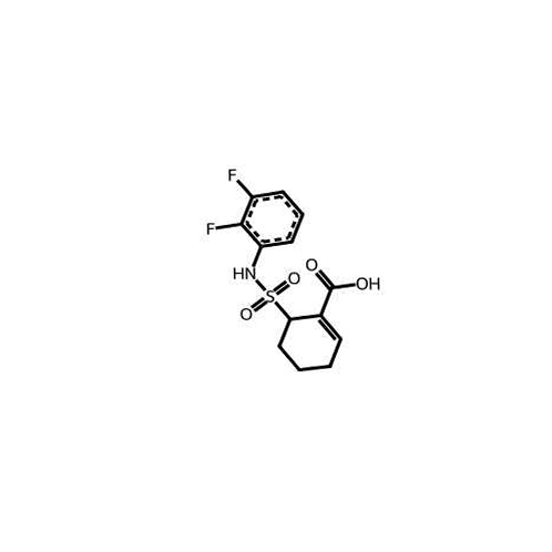 O=C(O)C1=CCCCC1S(=O)(=O)Nc1cccc(F)c1F